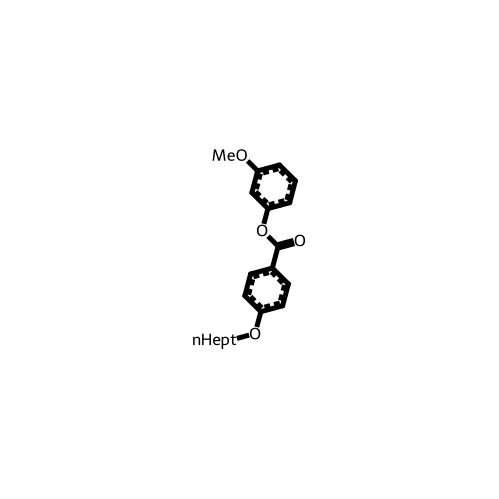 CCCCCCCOc1ccc(C(=O)Oc2cccc(OC)c2)cc1